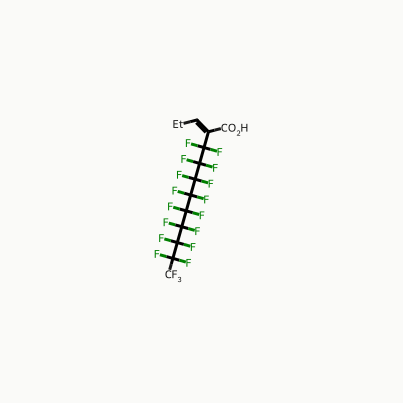 CCC=C(C(=O)O)C(F)(F)C(F)(F)C(F)(F)C(F)(F)C(F)(F)C(F)(F)C(F)(F)C(F)(F)C(F)(F)F